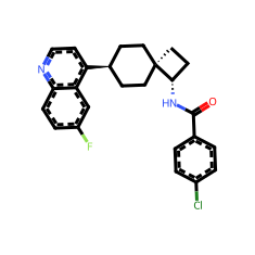 O=C(N[C@H]1CC[C@]12CC[C@H](c1ccnc3ccc(F)cc31)CC2)c1ccc(Cl)cc1